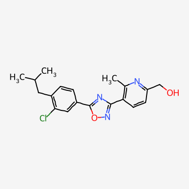 Cc1nc(CO)ccc1-c1noc(-c2ccc(CC(C)C)c(Cl)c2)n1